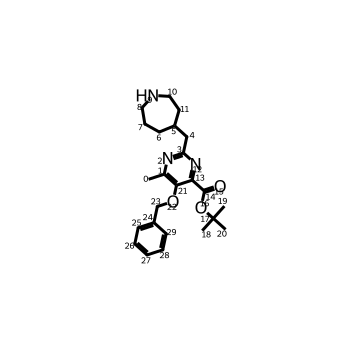 Cc1nc(CC2CCCNCC2)nc(C(=O)OC(C)(C)C)c1OCc1ccccc1